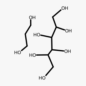 OCC(O)C(O)C(O)C(O)CO.OCCCO